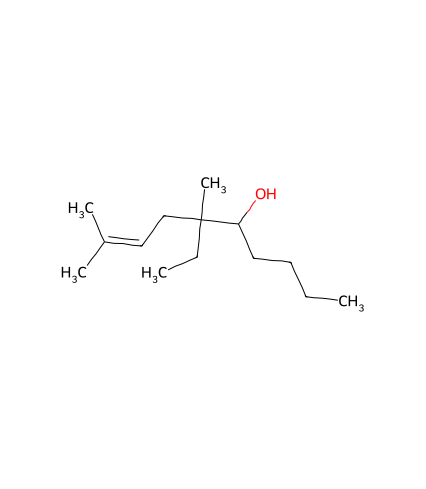 CCCCC(O)C(C)(CC)CC=C(C)C